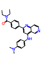 CCN(CC)C(=O)c1ccc(-c2cc(Nc3ccc(N(C)C)cc3)c3cnccc3n2)cc1